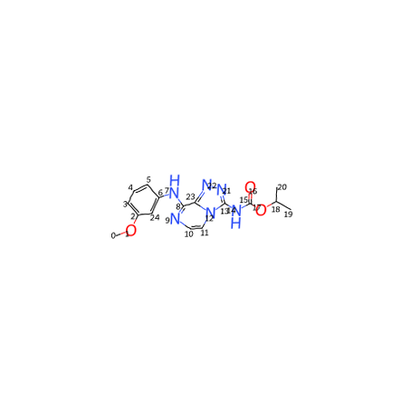 COc1cccc(Nc2nccn3c(NC(=O)OC(C)C)nnc23)c1